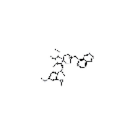 CCc1cc2c(c(OC)c1)C(C)C=C1N(C2)C(=O)N(CC)C12CCN(Cc1cccc3cnccc13)CC2